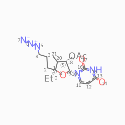 CC[C@@]1(CCCN=[N+]=[N-])O[C@@H](n2ccc(=O)[nH]c2=O)[C@@H](OC(C)=O)C1C